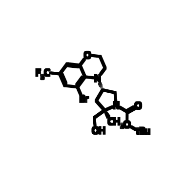 CC(C)(C)OC(=O)N1C[C@@H](N2CCOc3cc(C(F)(F)F)cc(Br)c32)C[C@@]1(C)CO